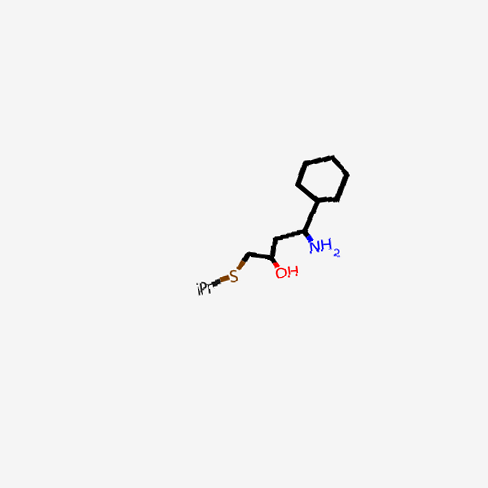 CC(C)SCC(O)CC(N)C1CCCCC1